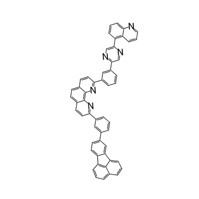 c1cc(-c2ccc3c(c2)-c2cccc4cccc-3c24)cc(-c2ccc3ccc4ccc(-c5cccc(-c6cnc(-c7cccc8ncccc78)cn6)c5)nc4c3n2)c1